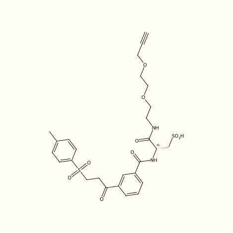 C#CCOCCOCCNC(=O)[C@H](CS(=O)(=O)O)NC(=O)c1cccc(C(=O)CCS(=O)(=O)c2ccc(C)cc2)c1